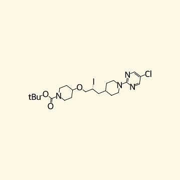 CC(C)(C)OC(=O)N1CCC(OC[C@H](I)CC2CCN(c3ncc(Cl)cn3)CC2)CC1